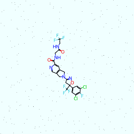 O=C(CNC(=O)c1cc2c(cn1)CN(C1=NOC(c3cc(Cl)c(F)c(Cl)c3)(C(F)(F)F)C1)C2)NCC(F)(F)F